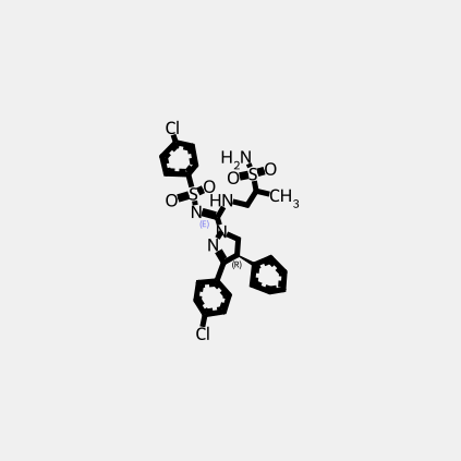 CC(CN/C(=N\S(=O)(=O)c1ccc(Cl)cc1)N1C[C@@H](c2ccccc2)C(c2ccc(Cl)cc2)=N1)S(N)(=O)=O